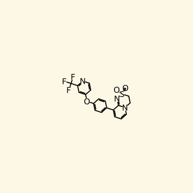 O=S1(=O)CCN2C=CC=C(c3ccc(Oc4ccnc(C(F)(F)F)c4)cc3)C2=N1